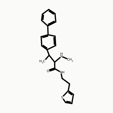 CNC(C(=O)NCCc1cccs1)C(C)c1ccc(-c2ccccc2)cc1